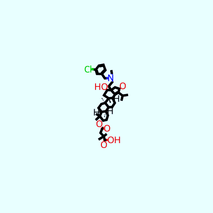 CCN(Cc1cccc(Cl)c1)CC(O)C12CC[C@]3(C)[C@H](CC[C@@H]4[C@@]5(C)CC[C@H](OC(=O)CC(C)(C)C(=O)O)C(C)(C)[C@@H]5CC[C@]43C)C1=C(C(C)C)C(=O)C2